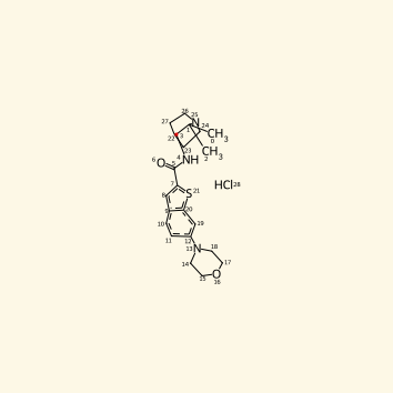 CC1(C)C(NC(=O)c2cc3ccc(N4CCOCC4)cc3s2)C2CCN1CC2.Cl